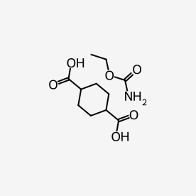 CCOC(N)=O.O=C(O)C1CCC(C(=O)O)CC1